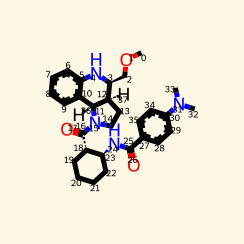 COC[C@@H]1Nc2ccccc2[C@H]2[C@@H]1CCN2C(=O)[C@H]1CCCC[C@H]1NC(=O)c1ccc(N(C)C)cc1